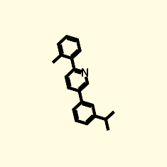 Cc1ccccc1-c1ccc(-c2cccc(C(C)C)c2)cn1